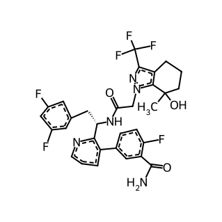 CC1(O)CCCc2c(C(F)(F)F)nn(CC(=O)N[C@@H](Cc3cc(F)cc(F)c3)c3ncccc3-c3ccc(F)c(C(N)=O)c3)c21